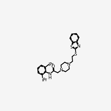 CC(C)c1cccc(C(C)C)c1NC(=O)CN1CCN(CCSc2nc3ccccc3s2)CC1